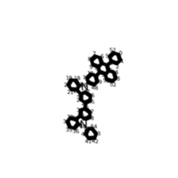 c1ccc(-c2c3ccccc3c(-c3ccc(-n4c5ccccc5c5cc(-c6ccc7c(c6)c6ccccc6n7-c6ccccc6)ccc54)cc3)c3ccccc23)cc1